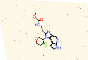 COC(=O)NCCc1nc2cnc3[nH]ccc3c2n1C1COCCC1(F)F